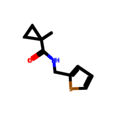 CC1(C(=O)NCc2cccs2)CC1